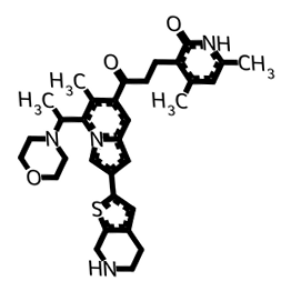 Cc1cc(C)c(CCC(=O)c2cc3cc(-c4cc5c(s4)CNCC5)cn3c(C(C)N3CCOCC3)c2C)c(=O)[nH]1